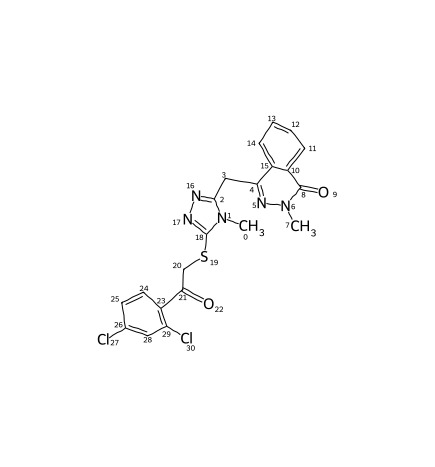 Cn1c(Cc2nn(C)c(=O)c3ccccc23)nnc1SCC(=O)c1ccc(Cl)cc1Cl